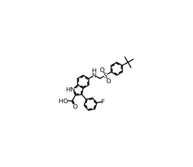 CC(C)(C)c1ccc(S(=O)(=O)CNc2ccc3[nH]c(C(=O)O)c(-c4cccc(F)c4)c3c2)cc1